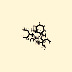 CCC(CC)N1[C@@H]2CCCC[C@H]2N(C(CC)CC)P1(N)=O